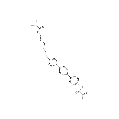 C=C(C)C(=O)OCCCCCCc1ccc(-c2ccc(-c3ccc(OC(=O)C(=C)C)cc3)cc2)cc1